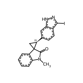 CN1C(=O)C2(C[C@H]2c2ccc3c(I)n[nH]c3c2)c2ccccc21